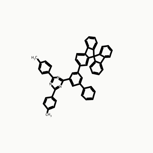 Cc1ccc(-c2nc(-c3ccc(C)cc3)nc(-c3cc(-c4ccccc4)cc(-c4ccc5c(c4)C4(c6ccccc6-c6ccccc64)c4ccccc4-5)c3)n2)cc1